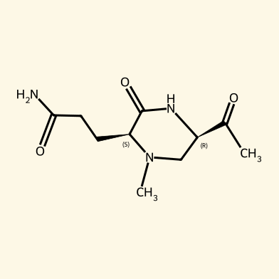 CC(=O)[C@H]1CN(C)[C@@H](CCC(N)=O)C(=O)N1